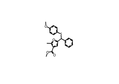 COC(=O)c1cc(C(Sc2ccc(OC)cc2)c2ccccc2)oc1C